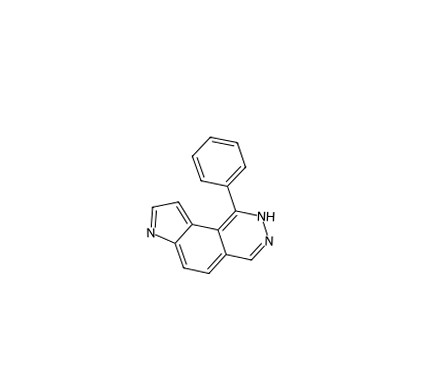 c1ccc(-c2[nH]ncc3ccc4nccc4c23)cc1